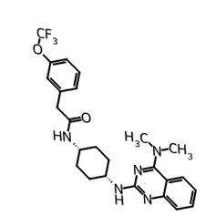 CN(C)c1nc(N[C@H]2CC[C@@H](NC(=O)Cc3cccc(OC(F)(F)F)c3)CC2)nc2ccccc12